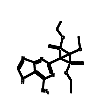 CCOP1(=O)C2(OC)C1(c1nc(N)c3[nH]cnc3n1)P2(=O)OCC